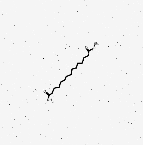 CC(C)(C)OC(=O)CCCCCCCCCCCCCC(N)=O